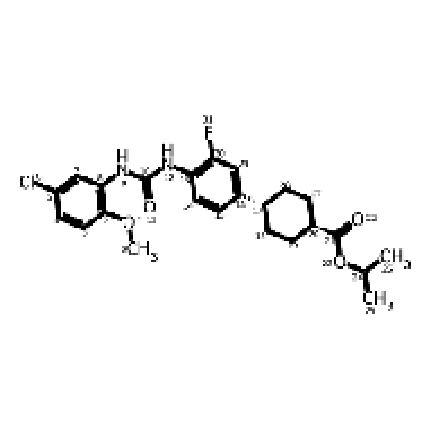 COc1ccc(Cl)cc1NC(=O)Nc1ccc([C@H]2CC[C@H](C(=O)OC(C)C)CC2)cc1F